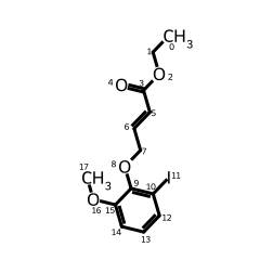 CCOC(=O)/C=C/COc1c(I)cccc1OC